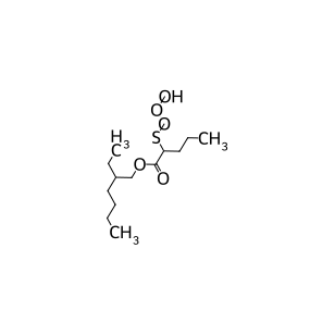 CCCCC(CC)COC(=O)C(CCC)SOOO